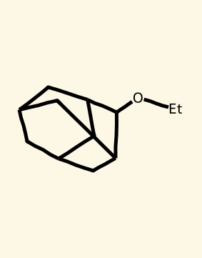 [CH2]COC1C2CC3CC(C2)CC1C3